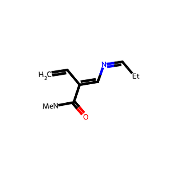 C=C/C(=C\N=C/CC)C(=O)NC